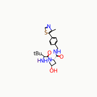 Cc1ncsc1-c1ccc(CNC(=O)[C@@H]2C[C@@H](O)CN2C(=O)C(NI)C(C)(C)C)cc1